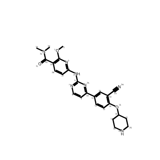 COc1nc(Nc2nccc(-c3ccc(OC4CCNCC4)c(C#N)c3)n2)ccc1C(=O)N(C)C